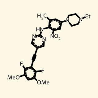 CCN1CCN(c2cc(C)c(Nc3ncc(C#Cc4c(F)c(OC)cc(OC)c4F)cn3)c([N+](=O)[O-])c2)CC1